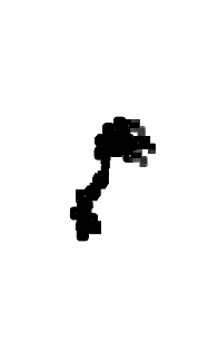 CCOc1cc([C@@H](CS(C)(=O)=O)N2C(=O)c3cccc(NC(=O)CCCCCN4CCC(N5CCC(c6cc7c(cc6F)C(=O)N(C6CCC(=O)NC6=O)C7)CC5)CC4)c3C2=O)ccc1OC